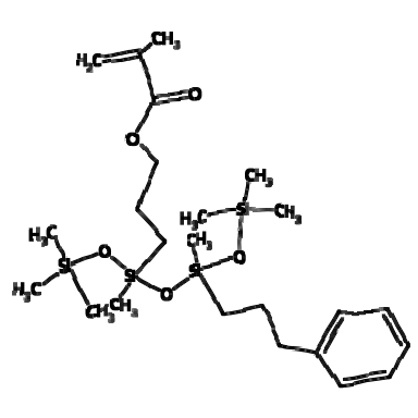 C=C(C)C(=O)OCCC[Si](C)(O[Si](C)(C)C)O[Si](C)(CCCc1ccccc1)O[Si](C)(C)C